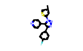 Cc1csc(-n2nnc(-c3ccc(F)cc3)c2-c2ccncc2)c1